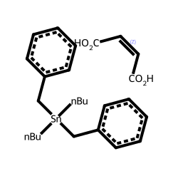 CCC[CH2][Sn]([CH2]CCC)([CH2]c1ccccc1)[CH2]c1ccccc1.O=C(O)/C=C\C(=O)O